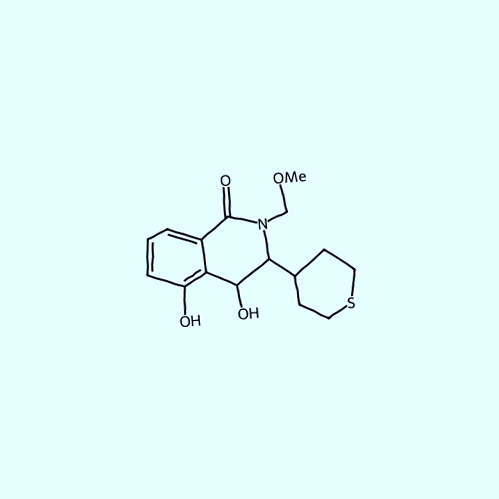 COCN1C(=O)c2cccc(O)c2C(O)C1C1CCSCC1